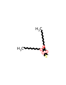 CCCCCCCCCCCCOCC1(COCCCCCCCCCCCC)COc2[c]s[c]c2OC1